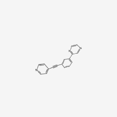 C(#Cc1cccc(-c2cnccn2)c1)c1ccncc1